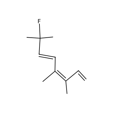 C=C/C(C)=C(/C)C=CC(C)(C)F